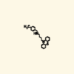 Cc1ccc(CNCCCCN2c3ccccc3Sc3ccccc32)cc1